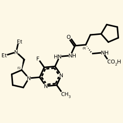 CCN(CC)C[C@@H]1CCCN1c1nc(C)nc(NNC(=O)[C@@H](CNC(=O)O)CC2CCCC2)c1F